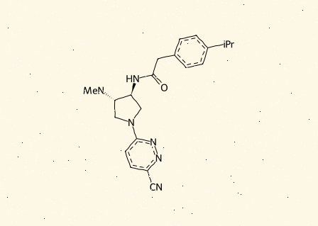 CN[C@H]1CN(c2ccc(C#N)nn2)C[C@@H]1NC(=O)Cc1ccc(C(C)C)cc1